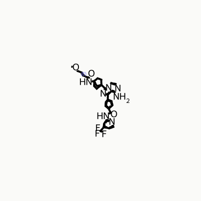 COC/C=C/C(=O)NC12CCC(c3nc(-c4ccc(C(=O)Nc5cc(C(F)(F)F)ccn5)cc4)c4c(N)nccn34)(CC1)C2